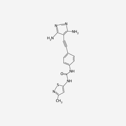 Cc1cc(NC(=O)Nc2ccc(C#Cc3c(N)ncnc3N)cc2)sn1